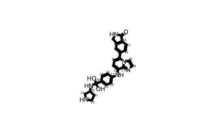 O=C1NCc2cc(-c3ccc(Nc4ccc(C(O)(O)NC5CCNC5)cc4)c4nccn34)ccc21